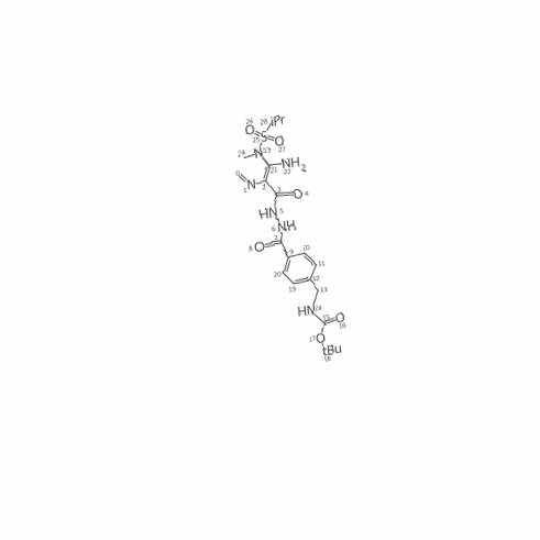 C=N/C(C(=O)NNC(=O)c1ccc(CNC(=O)OC(C)(C)C)cc1)=C(/N)N(C)S(=O)(=O)C(C)C